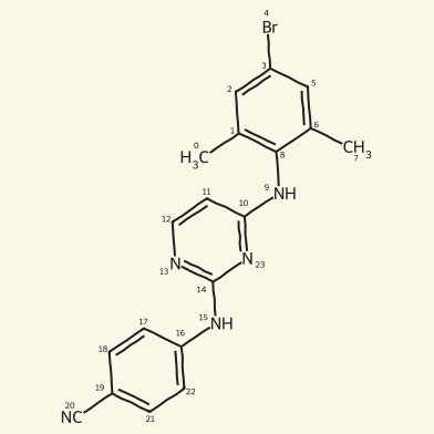 Cc1cc(Br)cc(C)c1Nc1ccnc(Nc2ccc(C#N)cc2)n1